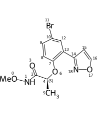 CONC(=O)[C@H](C)Oc1ccc(Br)cc1-c1ccon1